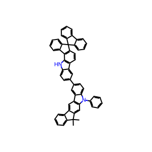 CC1(C)c2ccccc2-c2cc3c4cc(-c5ccc6[nH]c7c8c(ccc7c6c5)C5(c6ccccc6-c6ccccc65)c5ccccc5-8)ccc4n(-c4ccccc4)c3cc21